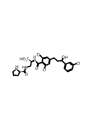 O=C(N[C@@H](CNC(=O)[C@H]1CCCN1)C(=O)O)c1c(Cl)cc(CCC(O)c2cccc(Cl)c2)cc1Cl